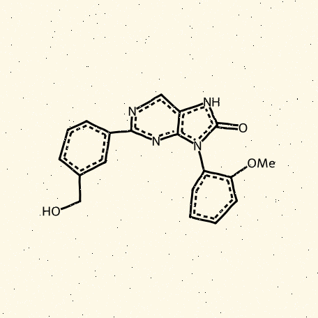 COc1ccccc1-n1c(=O)[nH]c2cnc(-c3cccc(CO)c3)nc21